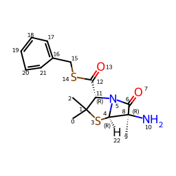 CC1(C)S[C@H]2N(C(=O)[C@@]2(C)N)[C@H]1C(=O)SCc1ccccc1